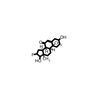 C[C@]12CCC(O)CC1=CC(=O)[C@@H]1[C@H]2CC[C@]2(C)C(O)C(F)C[C@@H]12